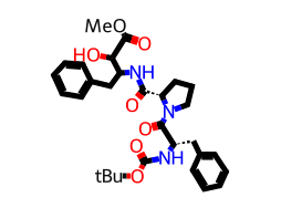 COC(=O)C(O)C(Cc1ccccc1)NC(=O)[C@@H]1CCCN1C(=O)[C@H](Cc1ccccc1)NC(=O)OC(C)(C)C